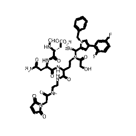 CC(C)(C)C(c1cc(-c2cc(F)ccc2F)cn1Cc1ccccc1)N(CCC(NC(=O)C(CC(N)=O)NC(=O)[C@@H](CC(=O)O)NC=O)C(=O)NCCNC(=O)CN1C(=O)C=CC1=O)C(=O)CO